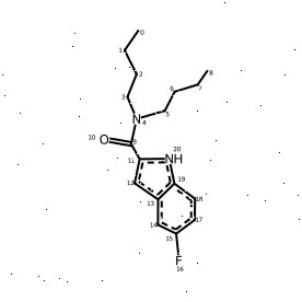 CCCCN(CCCC)C(=O)c1cc2cc(F)ccc2[nH]1